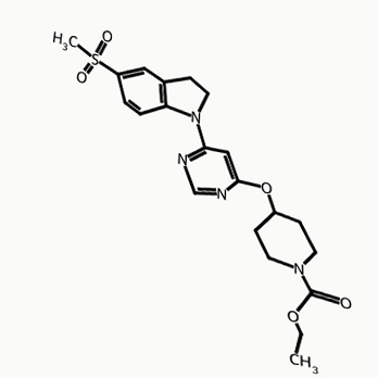 CCOC(=O)N1CCC(Oc2cc(N3CCc4cc(S(C)(=O)=O)ccc43)ncn2)CC1